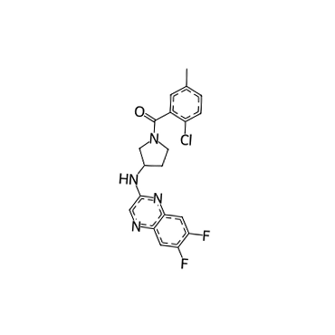 Cc1ccc(Cl)c(C(=O)N2CCC(Nc3cnc4cc(F)c(F)cc4n3)C2)c1